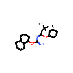 CC(C)(C)CC(=NC(=N)Oc1cccc2ccccc12)Oc1ccccc1